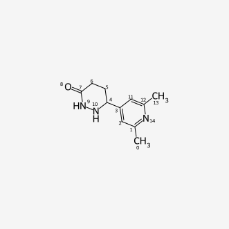 Cc1cc(C2CCC(=O)NN2)cc(C)n1